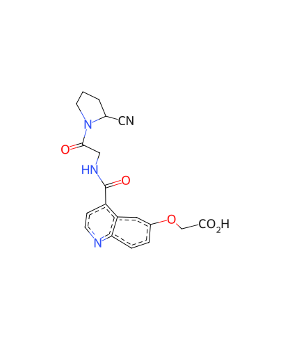 N#CC1CCCN1C(=O)CNC(=O)c1ccnc2ccc(OCC(=O)O)cc12